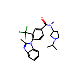 Cc1nc2ccccc2n1-c1ccc(C(=O)N(C)C2CCN(C(C)C)C2)cc1C(F)(F)F